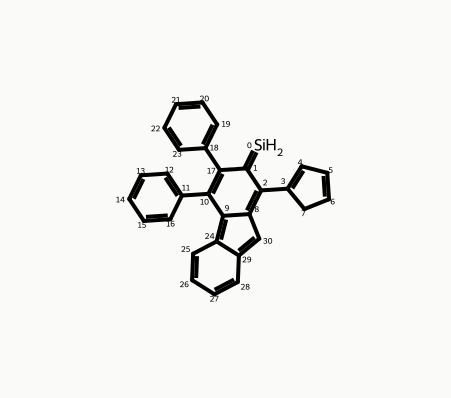 [SiH2]=c1c(C2=CC=CC2)c2c(c(-c3ccccc3)c1-c1ccccc1)=c1ccccc1=C2